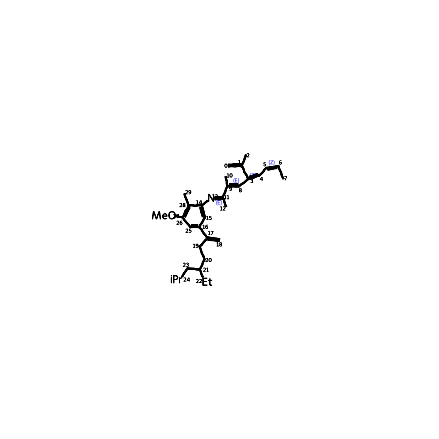 C=C(C)C(=C\C=C/C)/C=C(C)/C(C)=N/c1cc(C(=C)CCC(CC)CC(C)C)cc(OC)c1C